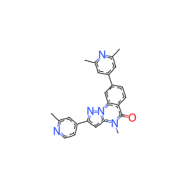 Cc1cc(-c2cc3n(C)c(=O)c4ccc(-c5cc(C)nc(C)c5)cc4n3n2)ccn1